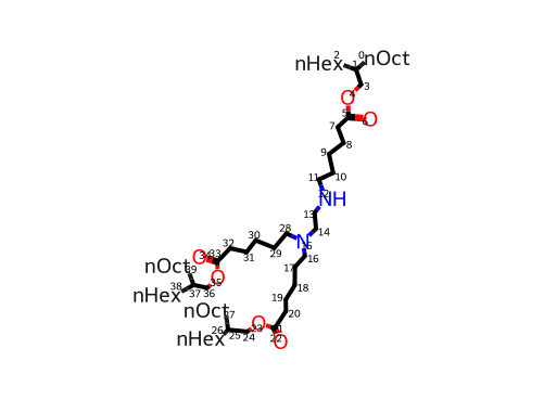 CCCCCCCCC(CCCCCC)COC(=O)CCCCCNCCN(CCCCCC(=O)OCC(CCCCCC)CCCCCCCC)CCCCCC(=O)OCC(CCCCCC)CCCCCCCC